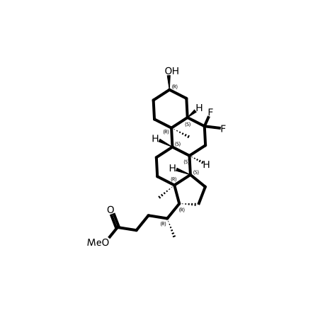 COC(=O)CC[C@@H](C)[C@H]1CC[C@H]2[C@@H]3CC(F)(F)[C@H]4C[C@H](O)CC[C@]4(C)[C@H]3CC[C@]12C